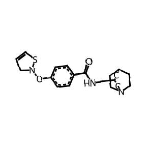 O=C(NC1CC2CCN(CC2)C1)c1ccc(ON2CC=CS2)cc1